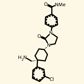 CNC(=O)c1ccc(N2CCN([C@H]3CC[C@](CN)(c4cccc(Cl)c4)CC3)C2=O)cc1